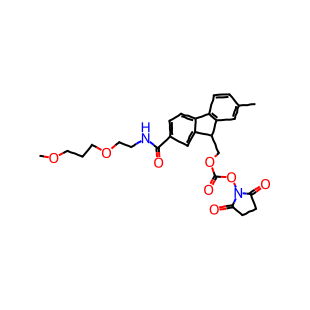 COCCCOCCNC(=O)c1ccc2c(c1)C(COC(=O)ON1C(=O)CCC1=O)c1cc(C)ccc1-2